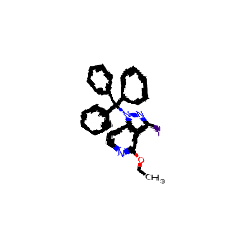 CCOc1nccc2c1c(I)nn2C(c1ccccc1)(c1ccccc1)c1ccccc1